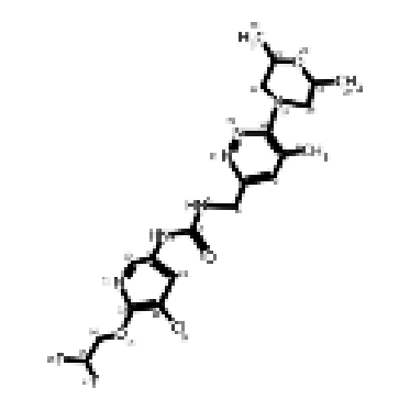 Cc1cc(CNC(=O)Nc2cnc(OCC(F)F)c(Cl)c2)nnc1N1CC(C)OC(C)C1